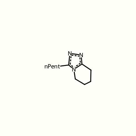 CCCCCc1nnc2n1CCCC2